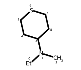 [CH2]CN(C)C1CCSCC1